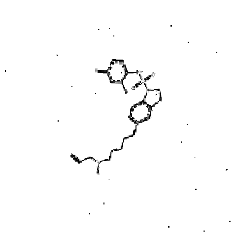 C=CCN(C)CCCCCc1ccc2c(c1)CCN2S(=O)(=O)Nc1ccc(F)cc1F